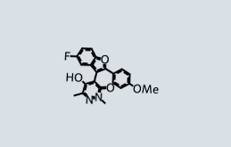 COc1ccc(-c2oc3ccc(F)cc3c2-c2c(O)c(C)nn(C)c2=O)cc1